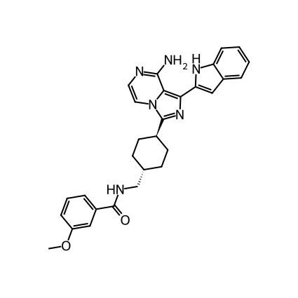 COc1cccc(C(=O)NC[C@H]2CC[C@H](c3nc(-c4cc5ccccc5[nH]4)c4c(N)nccn43)CC2)c1